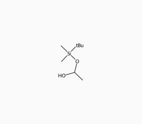 CC(O)O[Si](C)(C)C(C)(C)C